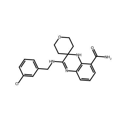 NC(=O)c1cccc2c1NC1(CCOCC1)C(NCc1cccc(Cl)c1)=N2